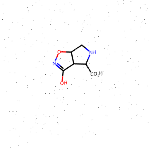 O=C(O)C1NCC2ON=C(O)C21